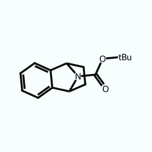 CC(C)(C)OC(=O)N1C2CCC1c1ccccc12